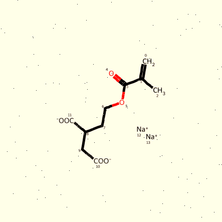 C=C(C)C(=O)OCCC(CC(=O)[O-])C(=O)[O-].[Na+].[Na+]